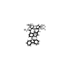 C=C1c2ccc(-n3c4ccncc4c4cnccc43)c3c2C2(C)C(=CC4=C(SCC4(C)C)N2C1(CC)CC)C=C3